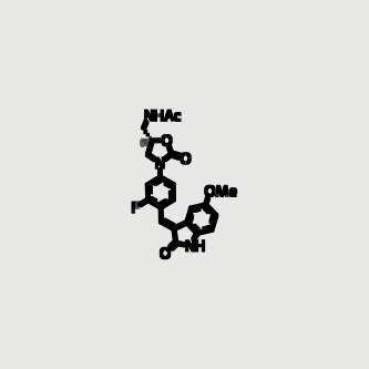 COc1ccc2c(c1)C(=Cc1ccc(N3C[C@H](CNC(C)=O)OC3=O)cc1F)C(=O)N2